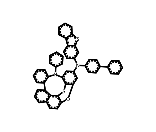 c1ccc(-c2ccc(N(c3cc4c5c(c3)N(c3ccccc3)c3ccccc3-c3cccc6ccc(c(c36)S5)O4)c3ccc4c(c3)sc3ccccc34)cc2)cc1